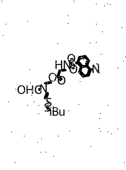 CCC(C)SS/C=C/N(C=O)CCOC(=O)CCNS(=O)(=O)c1cccc2c(N(C)C)cccc12